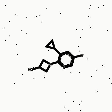 OC1CN(c2ncc(Br)cc2C2CC2)C1